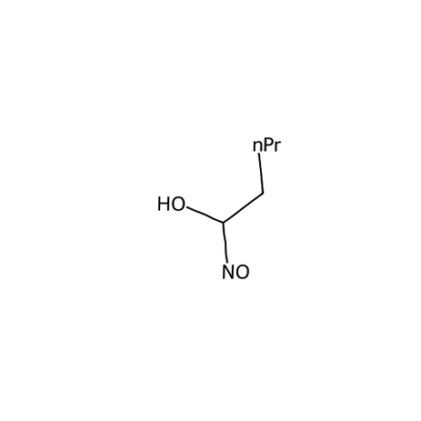 CCCCC(O)N=O